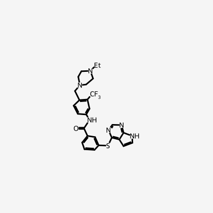 CCN1CCN(Cc2ccc(NC(=O)c3cccc(Sc4ncnc5[nH]ccc45)c3)cc2C(F)(F)F)CC1